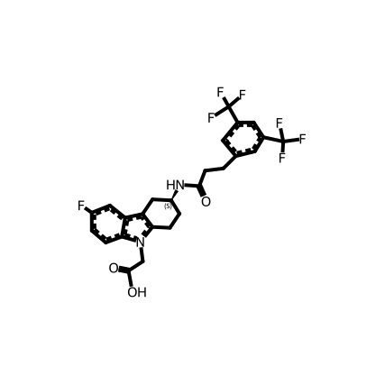 O=C(O)Cn1c2c(c3cc(F)ccc31)C[C@@H](NC(=O)CCc1cc(C(F)(F)F)cc(C(F)(F)F)c1)CC2